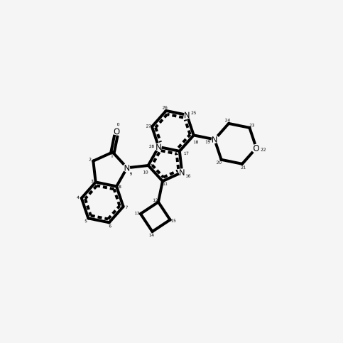 O=C1Cc2ccccc2N1c1c(C2CCC2)nc2c(N3CCOCC3)nccn12